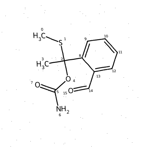 CSC(C)(OC(N)=O)c1ccccc1C=O